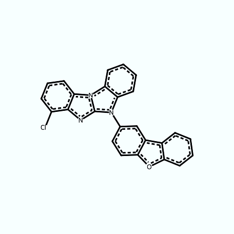 Clc1cccc2c1nc1n(-c3ccc4oc5ccccc5c4c3)c3ccccc3n21